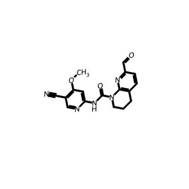 COc1cc(NC(=O)N2CCCc3ccc(C=O)nc32)ncc1C#N